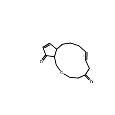 O=C1C/C=C/CCCC2C=CC(=O)C2COCC1